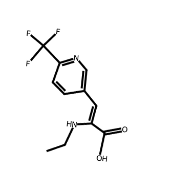 CCNC(=Cc1ccc(C(F)(F)F)nc1)C(=O)O